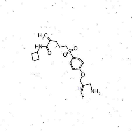 C=C(CCCS(=O)(=O)c1ccc(OC/C(=C/F)CN)cc1)C(=O)NC1CCC1